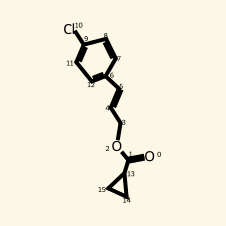 O=C(OCC=Cc1ccc(Cl)cc1)C1CC1